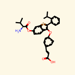 CC(C)c1ccccc1-c1sc2cc(OC(=O)[C@@H](N)C(C)C)ccc2c1Oc1ccc(C=CC(=O)O)cc1